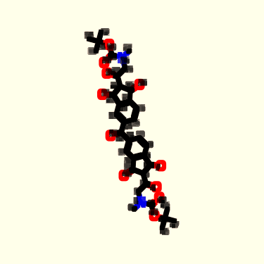 CN(CC(=O)C1C(=O)c2ccc(C(=O)c3ccc4c(c3)C(=O)C(C(=O)CN(C)C(=O)OC(C)(C)C)C4=O)cc2C1=O)C(=O)OC(C)(C)C